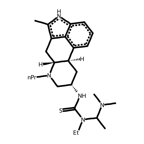 CCCN1C[C@@H](NC(=S)N(CC)C(C)N(C)C)C[C@@H]2c3cccc4[nH]c(C)c(c34)C[C@H]21